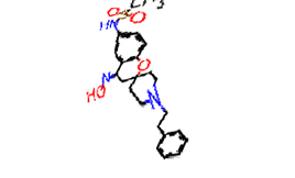 CS(=O)(=O)Nc1ccc2c(c1)C(=NO)CC1(CCN(CCc3ccccc3)CC1)O2